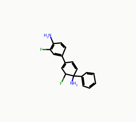 Nc1ccc(C2=CC(F)C(N)(c3ccccc3)C=C2)cc1F